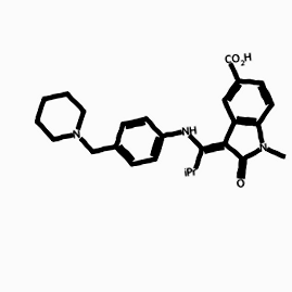 CC(C)C(Nc1ccc(CN2CCCCC2)cc1)=C1C(=O)N(C)c2ccc(C(=O)O)cc21